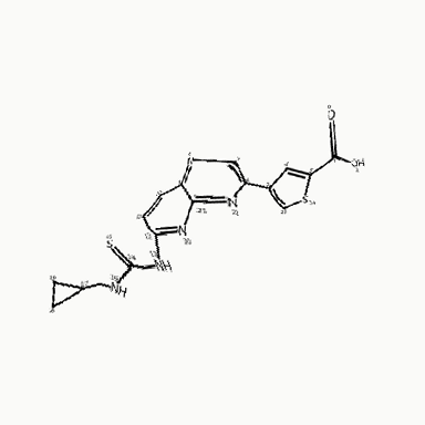 O=C(O)c1cc(-c2cnc3ccc(NC(=S)NC4CC4)nc3n2)cs1